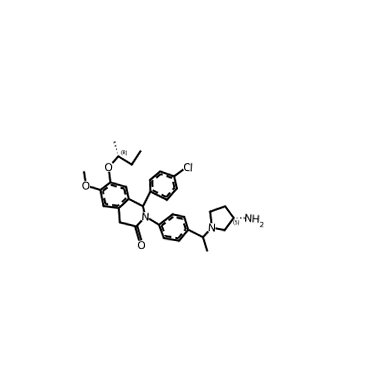 CC[C@@H](C)Oc1cc2c(cc1OC)CC(=O)N(c1ccc(C(C)N3CC[C@H](N)C3)cc1)C2c1ccc(Cl)cc1